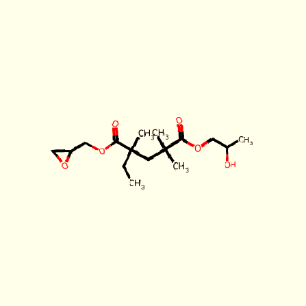 CCC(C)(CC(C)(C)C(=O)OCC(C)O)C(=O)OCC1CO1